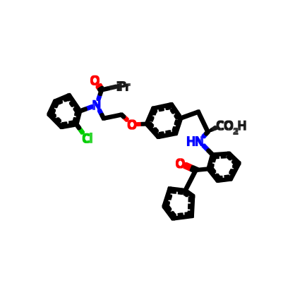 CC(C)C(=O)N(CCOc1ccc(C[C@H](Nc2ccccc2C(=O)c2ccccc2)C(=O)O)cc1)c1ccccc1Cl